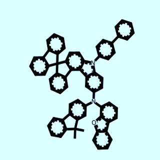 CC1(C)c2ccccc2-c2ccc(N(c3ccc4c(c3)c3c5c(ccc3n4-c3ccc(-c4ccccc4)cc3)C3(c4ccccc4-c4ccccc43)c3ccccc3-5)c3cccc4c3oc3ccccc34)cc21